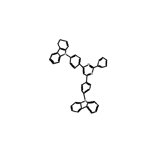 C1=Cc2c(c3ccccc3n2-c2ccc(-c3cc(-c4ccc(-n5c6ccccc6c6ccccc65)cc4)nc(-c4ccccc4)n3)cc2)CC1